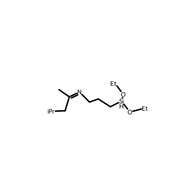 CCO[SiH](CCCN=C(C)CC(C)C)OCC